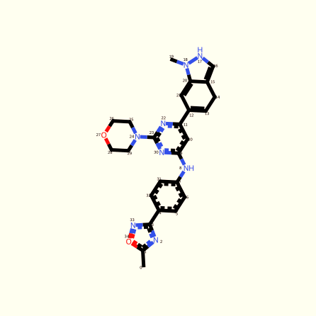 Cc1nc(-c2ccc(Nc3cc(C4=CCC5=CNN(C)C5=C4)nc(N4CCOCC4)n3)cc2)no1